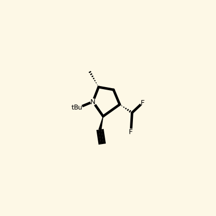 C#C[C@@H]1[C@@H](C(F)F)C[C@@H](C)N1C(C)(C)C